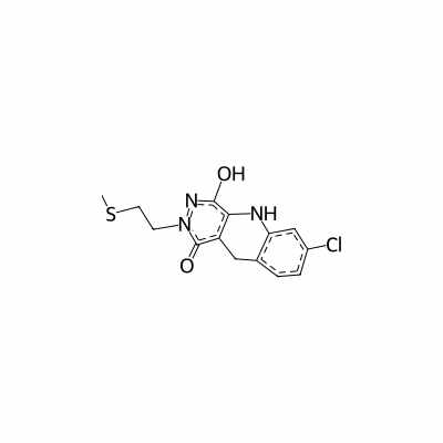 CSCCn1nc(O)c2c(c1=O)Cc1ccc(Cl)cc1N2